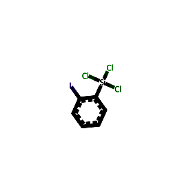 Cl[Si](Cl)(Cl)c1ccccc1I